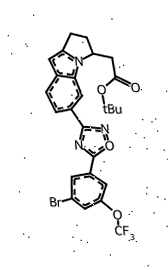 CC(C)(C)OC(=O)CC1CCc2cc3ccc(-c4noc(-c5cc(Br)cc(OC(F)(F)F)c5)n4)cc3n21